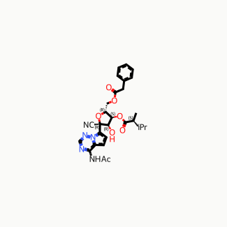 CC(=O)Nc1ncnn2c([C@]3(C#N)O[C@H](COC(=O)Cc4ccccc4)[C@@H](OC(=O)[C@@H](C)C(C)C)[C@H]3O)ccc12